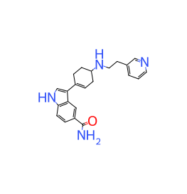 NC(=O)c1ccc2[nH]cc(C3=CCC(NCCc4cccnc4)CC3)c2c1